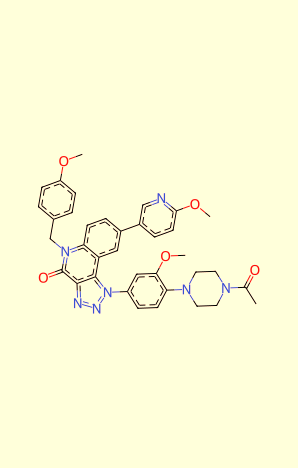 COc1ccc(Cn2c(=O)c3nnn(-c4ccc(N5CCN(C(C)=O)CC5)c(OC)c4)c3c3cc(-c4ccc(OC)nc4)ccc32)cc1